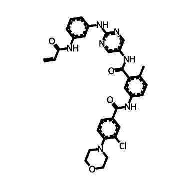 C=CC(=O)Nc1cccc(Nc2ncc(NC(=O)c3cc(NC(=O)c4ccc(N5CCOCC5)c(Cl)c4)ccc3C)cn2)c1